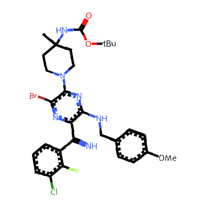 COc1ccc(CNc2nc(N3CCC(C)(NC(=O)OC(C)(C)C)CC3)c(Br)nc2C(=N)c2cccc(Cl)c2F)cc1